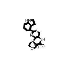 O=C1Nc2cnc(-c3cccc4[nH]ccc34)nc2N2CCOC[C@@H]12